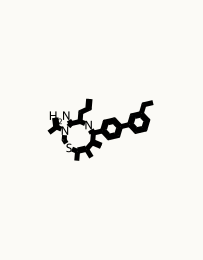 C=CCC1/N=C(/c2ccc(-c3cccc(CC)c3)cc2)C(=C)/C(C)=C(/C)SCN(C(=C)C)C1N